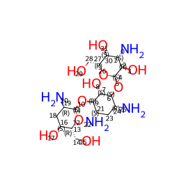 N[C@@H]1[C@@H](O)[C@@H](O[C@@H]2[C@@H](O)[C@H](O[C@H]3O[C@H](CO)[C@@H](O)C[C@H]3N)[C@@H](N)C[C@H]2N)O[C@H](CO)[C@H]1O